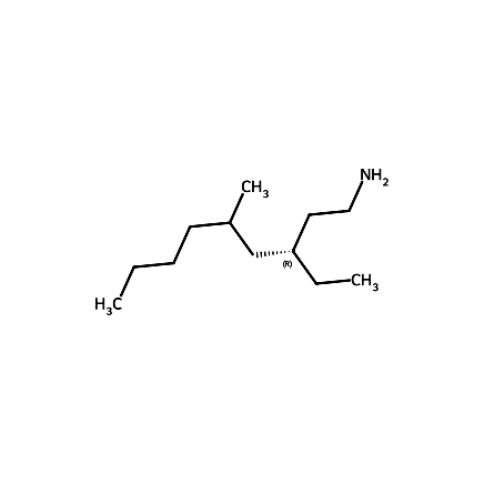 CCCCC(C)C[C@@H](CC)CCN